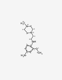 COc1cc(N)ccc1NCCN1CCN(C)CC1